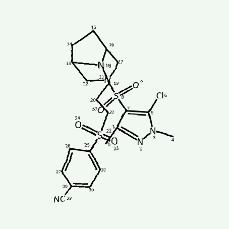 Cc1nn(C)c(Cl)c1S(=O)(=O)N1CC2CCC(C1)N2CCCS(=O)(=O)c1ccc(C#N)cc1